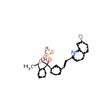 CCC(OS(C)(=O)=O)(c1cccc(/C=C/c2ccc3ccc(Cl)cc3n2)c1)c1ccccc1C(C)=O